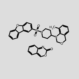 Cc1cccc2c1N(C1CCN(S(=O)(=O)c3ccc4oc5ccccc5c4c3)CC1)COC2.O=c1nc2ccccc2co1